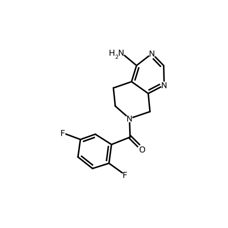 Nc1ncnc2c1CCN(C(=O)c1cc(F)ccc1F)C2